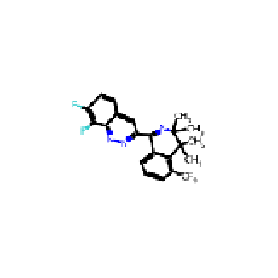 CC1(C)N=C(c2cc3ccc(F)c(F)c3nn2)c2cccc(C(F)(F)F)c2C1(C)C